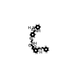 Nc1ccccc1NC(=O)c1ccc(OCCNC(=O)c2cc3cccc(CNCc4ccccc4)c3o2)cc1